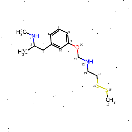 CNC(C)Cc1cccc(OCNCCSSC)c1